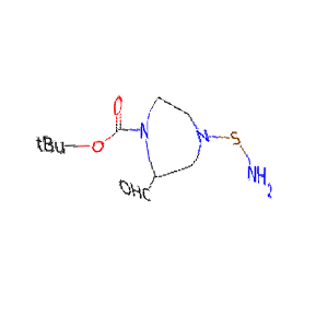 CC(C)(C)OC(=O)N1CCN(SN)CC1C=O